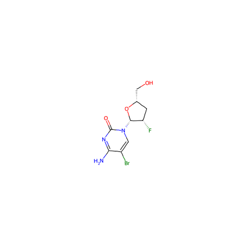 Nc1nc(=O)n([C@@H]2O[C@H](CO)C[C@@H]2F)cc1Br